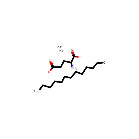 CCCCCCCCCCC[CH2][K].NC(CCC(=O)[O-])C(=O)[O-].[Na+].[Na+]